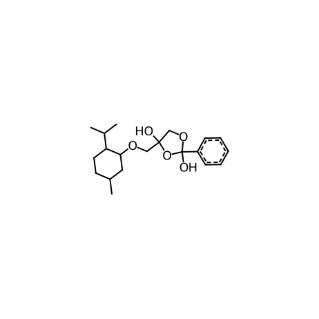 CC1CCC(C(C)C)C(OCC2(O)COC(O)(c3ccccc3)O2)C1